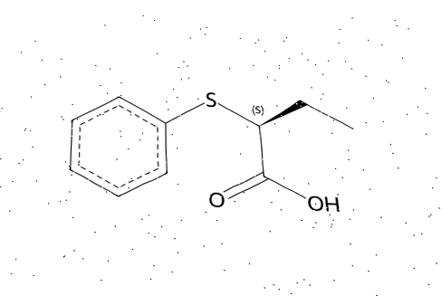 CC[C@H](Sc1ccccc1)C(=O)O